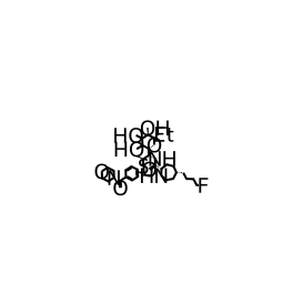 CCC1O[C@H]([C@H](NC(=O)[C@@H]2CC[C@H](CCCCF)CCN2)[C@H](C)Sc2ccc(C(=O)N3CCOCC3)cc2)C(O)C(O)[C@H]1O